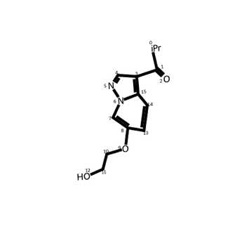 CC(C)C(=O)c1cnn2cc(OCCO)ccc12